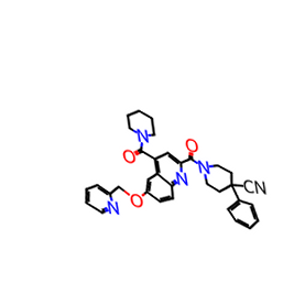 N#CC1(c2ccccc2)CCN(C(=O)c2cc(C(=O)N3CCCCC3)c3cc(OCc4ccccn4)ccc3n2)CC1